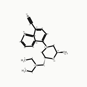 CCN(CC)C[C@@H]1CN(c2ccc(C#N)c3ncccc23)C[C@@H](C)O1